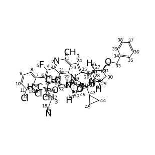 Cc1nc2c(F)c(-c3cccc(Cl)c3Cl)c(CCC#N)cc2c2c1cc([C@H]1[C@H]3C[C@H](C[C@@H]3OCc3ccccc3)N1C(=O)C1CC1)n2[C@H]1[C@@H]2C[C@H]1N(C(=O)OC(C)(C)C)C2